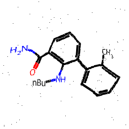 CCCCNc1c(C(N)=O)cccc1-c1ccccc1C